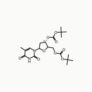 Cc1cn(C2C[C@H](OC(=O)OC(C)(C)C)C(COC(=O)OC(C)(C)C)O2)c(=O)[nH]c1=O